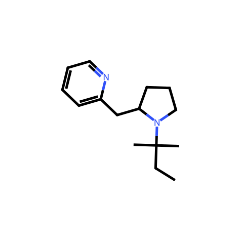 CCC(C)(C)N1CCCC1Cc1ccccn1